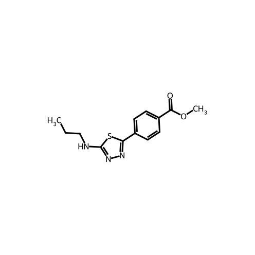 CCCNc1nnc(-c2ccc(C(=O)OC)cc2)s1